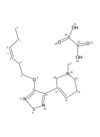 CC/C=C\CCOc1nsnc1C1=CCCN(C)C1.O=C(O)C(=O)O